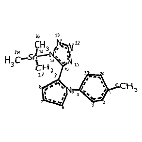 Cc1ccc(-n2cccc2-c2nnn[n]2[Sn]([CH3])([CH3])[CH3])cc1